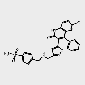 NS(=O)(=O)c1ccc(CNCc2cc(-c3c(-c4ccccc4)c4cc(Cl)ccc4[nH]c3=O)on2)cc1